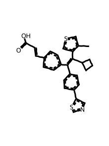 Cc1cscc1C(=C(c1ccc(C=CC(=O)O)cc1)c1ccc(-c2cncs2)cc1)C1CCC1